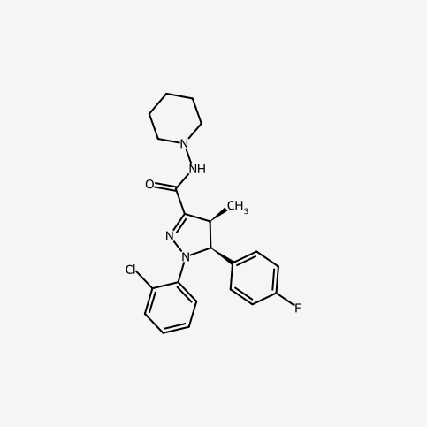 C[C@@H]1C(C(=O)NN2CCCCC2)=NN(c2ccccc2Cl)[C@@H]1c1ccc(F)cc1